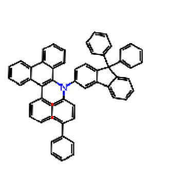 c1ccc(-c2ccc(N(c3ccc4c(c3)-c3ccccc3C4(c3ccccc3)c3ccccc3)c3c(-c4ccccc4)c4ccccc4c4ccccc34)cc2)cc1